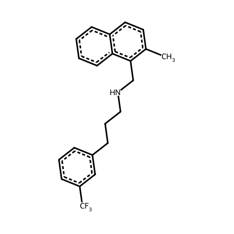 Cc1ccc2ccccc2c1CNCCCc1cccc(C(F)(F)F)c1